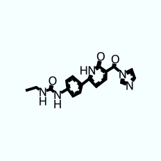 CCNC(=O)Nc1ccc(-c2ccc(C(=O)n3ccnc3)c(=O)[nH]2)cc1